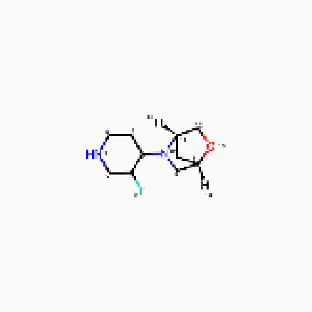 FC1CNCCC1N1C[C@@H]2C[C@H]1CO2